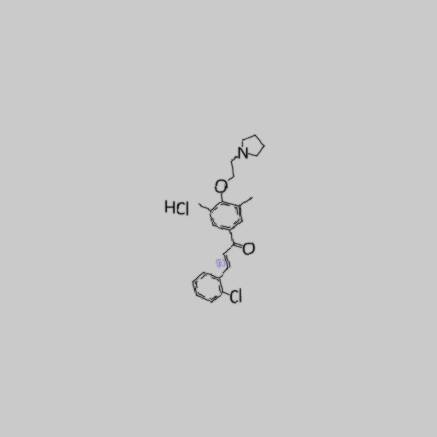 Cc1cc(C(=O)/C=C/c2ccccc2Cl)cc(C)c1OCCN1CCCC1.Cl